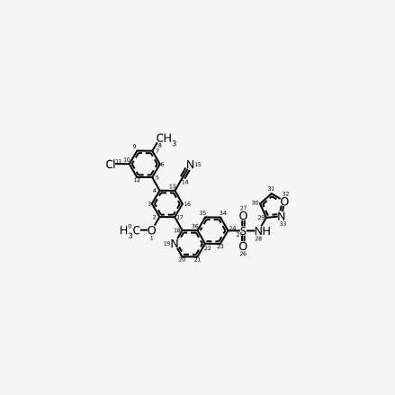 COc1cc(-c2cc(C)cc(Cl)c2)c(C#N)cc1-c1nccc2cc(S(=O)(=O)Nc3ccon3)ccc12